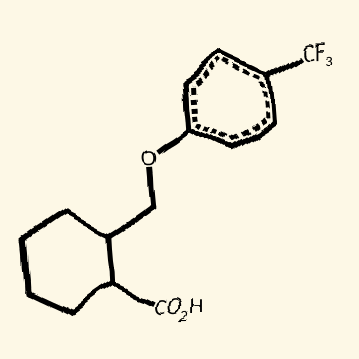 O=C(O)C1CCCCC1COc1ccc(C(F)(F)F)cc1